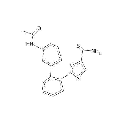 CC(=O)Nc1cccc(-c2ccccc2-c2nc(C(N)=S)cs2)c1